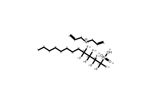 C=CCNCC=C.CCCCCCCCC(F)(F)C(F)(F)C(F)(F)C(F)(F)S(=O)(=O)O